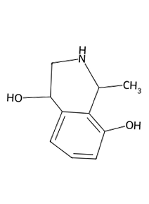 CC1NCC(O)c2cccc(O)c21